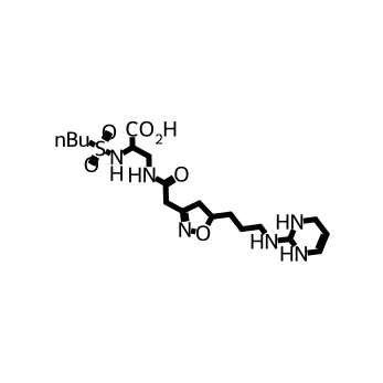 CCCCS(=O)(=O)NC(CNC(=O)CC1=NOC(CCCNC2NC=CCN2)C1)C(=O)O